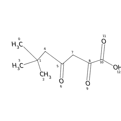 CC(C)(C)CC(=O)CC(=O)C(=O)O